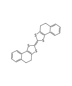 c1ccc2c(c1)CCC1=C2SC(=C2SC3=C(S2)c2ccccc2CC3)S1